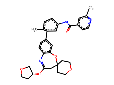 Cc1ccc(NC(=O)c2ccnc(C(F)(F)F)c2)cc1-c1ccc2c(c1)OC1(CCOCC1)CC(O[C@H]1CCOC1)=N2